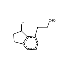 CCC1CCc2cccc(CCC=O)c21